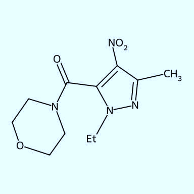 CCn1nc(C)c([N+](=O)[O-])c1C(=O)N1CCOCC1